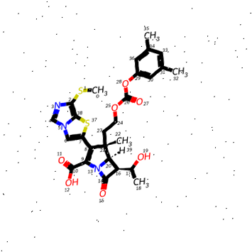 CSc1ncn2cc(C3=C(C(=O)O)N4C(=O)[C@H](C(C)O)[C@@H]4[C@@]3(C)CCOC(=O)Oc3cc(C)cc(C)c3)sc12